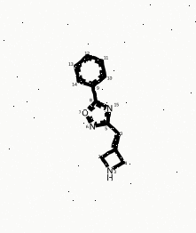 C(=C1CNC1)c1noc(-c2ccccc2)n1